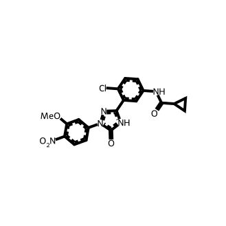 COc1cc(-n2nc(-c3cc(NC(=O)C4CC4)ccc3Cl)[nH]c2=O)ccc1[N+](=O)[O-]